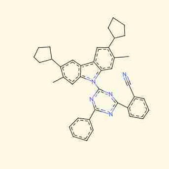 Cc1cc2c(cc1C1CCCC1)c1cc(C3CCCC3)c(C)cc1n2-c1nc(-c2ccccc2)nc(-c2ccccc2C#N)n1